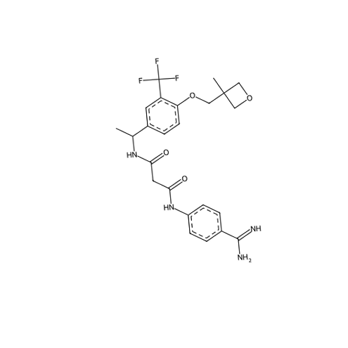 CC(NC(=O)CC(=O)Nc1ccc(C(=N)N)cc1)c1ccc(OCC2(C)COC2)c(C(F)(F)F)c1